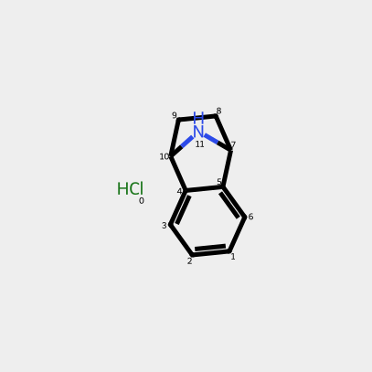 Cl.c1ccc2c(c1)C1CCC2N1